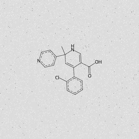 CC1(c2ccncc2)C=C(c2ccccc2Cl)C(C(=O)O)=CN1